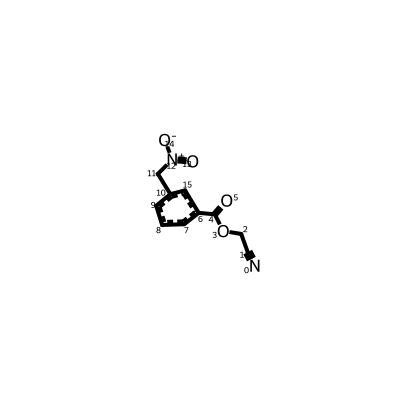 N#CCOC(=O)c1cccc(C[N+](=O)[O-])c1